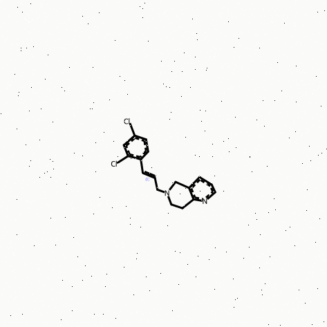 Clc1ccc(/C=C/CN2CCc3ncccc3C2)c(Cl)c1